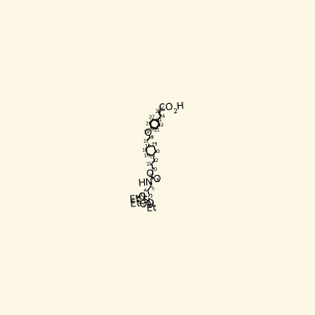 CCO[Si](CCCNC(=O)OCCC[C@H]1CC[C@H](CCOc2ccc(/C=C/C(=O)O)cc2)CC1)(OCC)OCC